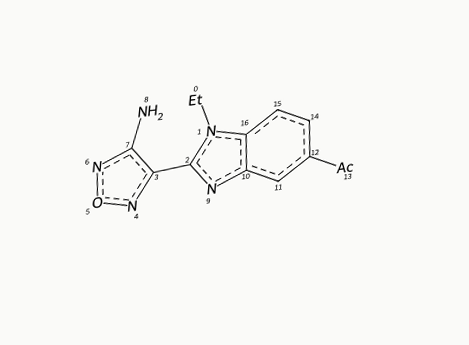 CCn1c(-c2nonc2N)nc2cc(C(C)=O)ccc21